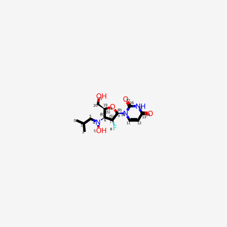 CC(C)CN(O)[C@H]1[C@H](F)[C@H](n2ccc(=O)[nH]c2=O)O[C@@H]1CO